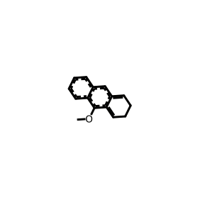 COc1c2c(cc3ccccc13)=CCCC=2